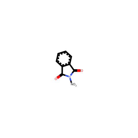 O=C1c2ccccc2C(=O)N1[N+](=O)[O-]